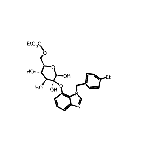 CCOC(=O)OC[C@H]1O[C@@H](O)[C@@](O)(Oc2cccc3ncn(Cc4ccc(CC)cc4)c23)[C@@H](O)[C@@H]1O